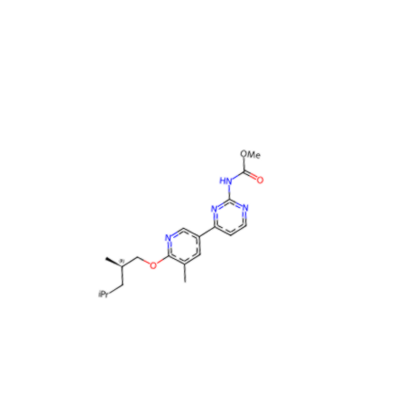 COC(=O)Nc1nccc(-c2cnc(OC[C@H](C)CC(C)C)c(C)c2)n1